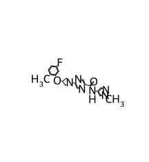 Cc1ccc(F)cc1OC1CN(c2cnc(C(=O)Nc3cnn(C)c3)cn2)C1